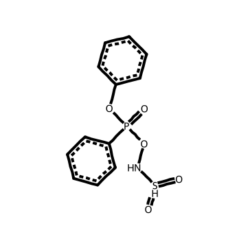 O=[SH](=O)NOP(=O)(Oc1ccccc1)c1ccccc1